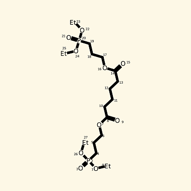 CCOP(=O)(CCCOC(=O)CCCCC(=O)OCCCP(=O)(OCC)OCC)OCC